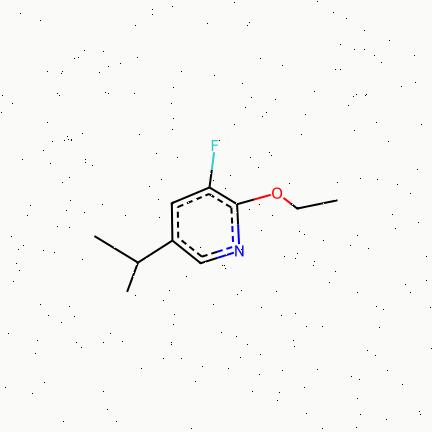 CCOc1ncc(C(C)C)cc1F